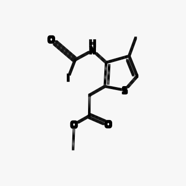 COC(=O)Cc1scc(C)c1NC(=O)I